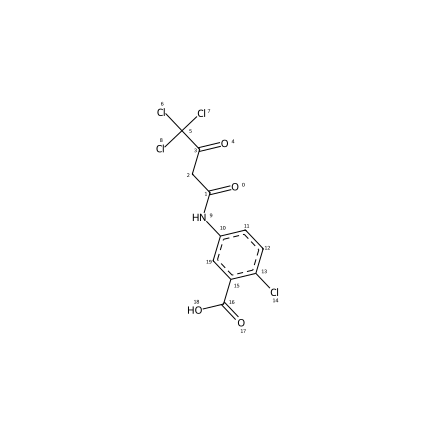 O=C(CC(=O)C(Cl)(Cl)Cl)Nc1ccc(Cl)c(C(=O)O)c1